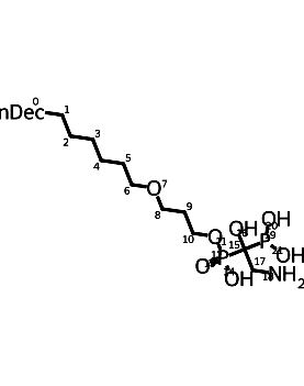 CCCCCCCCCCCCCCCCOCCCOP(=O)(O)C(O)(CN)P(O)O